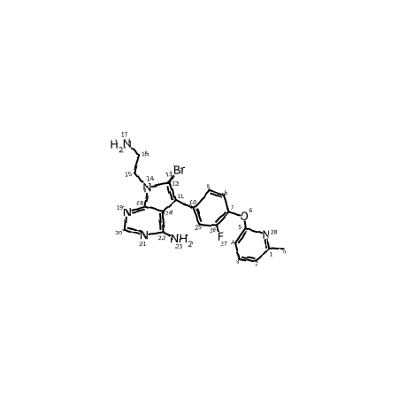 Cc1cccc(Oc2ccc(-c3c(Br)n(CCN)c4ncnc(N)c34)cc2F)n1